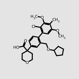 COc1cc(-c2ccc(C3(C(=O)O)CCOCC3)cc2COC2CCCC2)c(Cl)c(OC)c1C